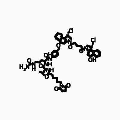 CC(C)C(NC(=O)CCCCCN1C(=O)C=CC1=O)C(=O)NC(CCCNC(N)=O)C(=O)Nc1ccc(COc2cc3c(c4ccccc24)[C@H](CCl)CN3C(=O)CCCC(=O)N2C[C@@H](CCl)c3c2cc(O)c2ccccc32)cc1